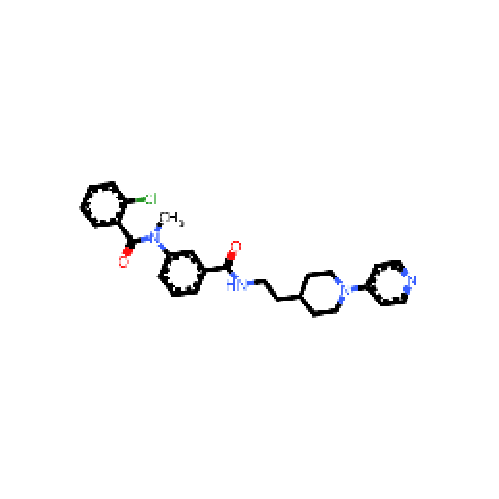 CN(C(=O)c1ccccc1Cl)c1cccc(C(=O)NCCC2CCN(c3ccncc3)CC2)c1